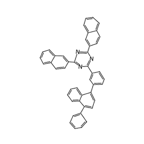 c1ccc(-c2ccc(-c3cccc(-c4nc(-c5ccc6ccccc6c5)nc(-c5ccc6ccccc6c5)n4)c3)c3ccccc23)cc1